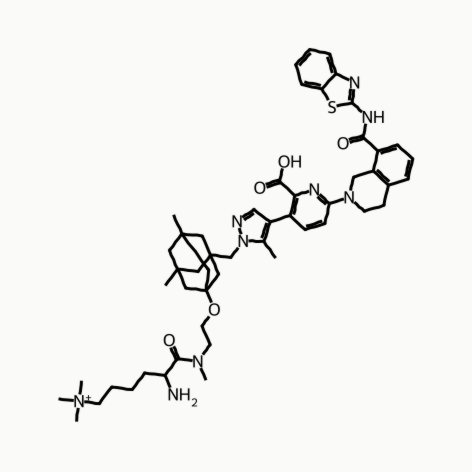 Cc1c(-c2ccc(N3CCc4cccc(C(=O)Nc5nc6ccccc6s5)c4C3)nc2C(=O)O)cnn1CC12CC3(C)CC(C)(C1)CC(OCCN(C)C(=O)C(N)CCCC[N+](C)(C)C)(C3)C2